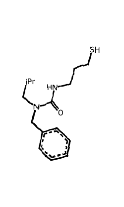 CC(C)CN(Cc1ccccc1)C(=O)NCCCS